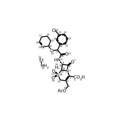 CC(=O)OCC1=C(C(=O)O)N2C(=O)[C@H](NC(=O)C(OC3CCCC=N3)c3cccc(Cl)c3)[C@@H]2S(=O)(=O)C1.CCN